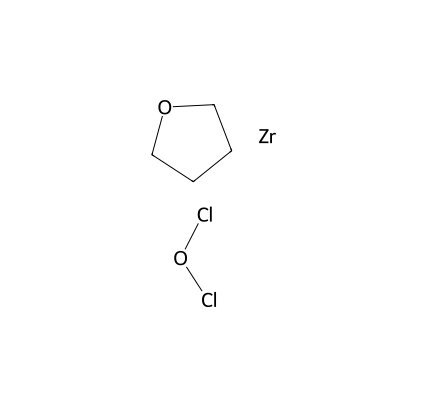 C1CCOC1.ClOCl.[Zr]